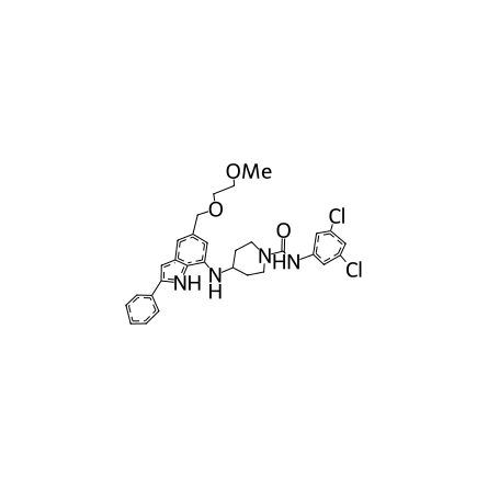 COCCOCc1cc(NC2CCN(C(=O)Nc3cc(Cl)cc(Cl)c3)CC2)c2[nH]c(-c3ccccc3)cc2c1